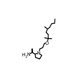 C=C(N)C1CCCN1CCCOC(C)(C)CCC(C)CCCC